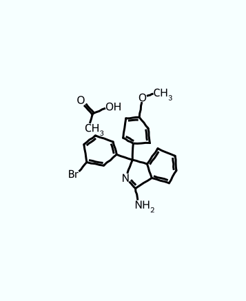 CC(=O)O.COc1ccc(C2(c3cccc(Br)c3)N=C(N)c3ccccc32)cc1